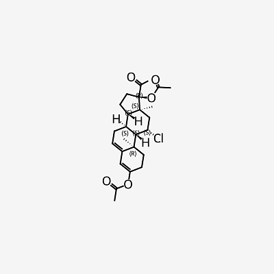 CC(=O)OC1=CC2=CC[C@@H]3[C@H]([C@@H](Cl)C[C@@]4(C)[C@H]3CC[C@]4(OC(C)=O)C(C)=O)[C@@]2(C)CC1